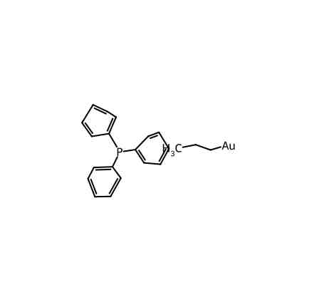 CC[CH2][Au].c1ccc(P(c2ccccc2)c2ccccc2)cc1